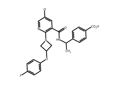 CC(NC(=O)c1cc(Cl)cnc1N1CC(Oc2ccc(F)cc2)C1)c1ccc(C(=O)O)cc1